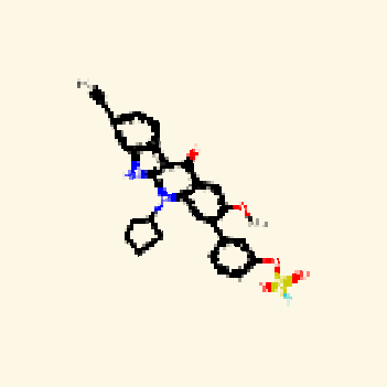 C#Cc1ccc2c(c1)[nH]c1c2c(=O)c2cc(OCCCC)c(-c3cccc(OS(=O)(=O)F)c3)cc2n1C1CCCC1